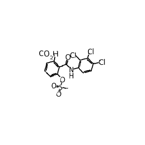 CS(=O)(=O)Oc1cccc(C(=O)O)c1C(=O)Nc1ccc(Cl)c(Cl)c1Cl